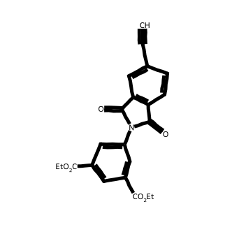 C#Cc1ccc2c(c1)C(=O)N(c1cc(C(=O)OCC)cc(C(=O)OCC)c1)C2=O